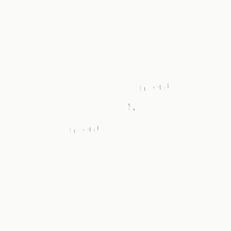 [CH2]CCCCCN(C)CCCCC